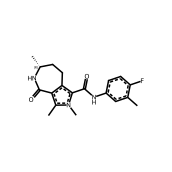 Cc1cc(NC(=O)c2c3c(c(C)n2C)C(=O)N[C@H](C)CC3)ccc1F